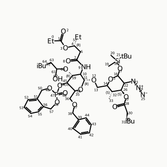 CCC(=O)O[C@H](CC)CC(=O)NC1[C@H](OCC2OC(O[Si](C)(C)C(C)(C)C)C(N=[N+]=[N-])[C@@H](OC(=O)C[C@H](C)CC)[C@@H]2C)OC(COCc2ccccc2)[C@@H](OP2(=O)OCc3ccccc3CO2)[C@@H]1OC(O)C[C@H](C)CC